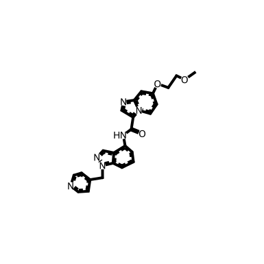 COCCOc1ccn2c(C(=O)Nc3cccc4c3cnn4Cc3ccncc3)cnc2c1